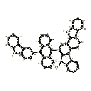 CC1(C)c2ccccc2-c2c1c(-c1c3ccccc3c(-c3ccc4oc5ccccc5c4c3)c3ccccc13)cc1c2ccc2c3ccccc3oc12